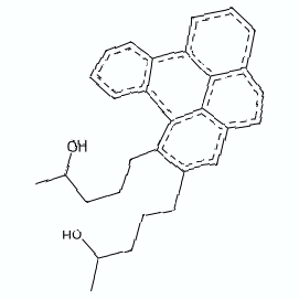 CC(O)CCCc1cc2ccc3cccc4c5ccccc5c(c1CCCC(C)O)c2c34